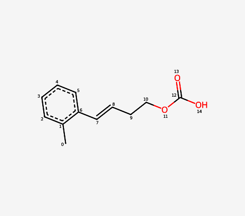 Cc1ccccc1C=CCCOC(=O)O